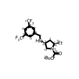 CC[C@@H]1C[C@H](NCc2cc(C(F)(F)F)cc(C(F)(F)F)c2)CN1C(=O)OCC(C)C